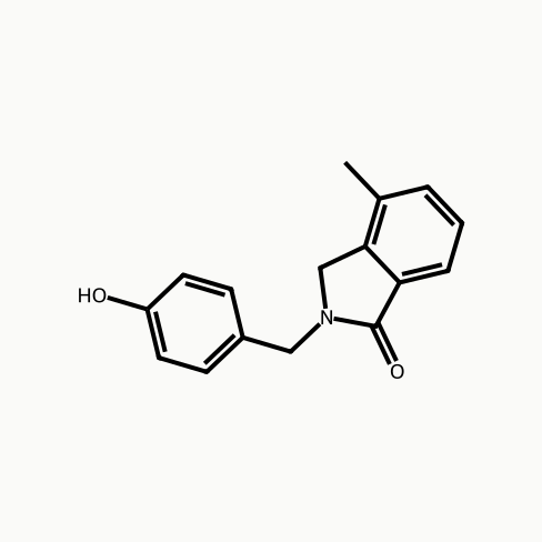 Cc1cccc2c1CN(Cc1ccc(O)cc1)C2=O